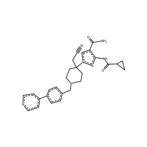 N#CCC1(n2cc(C(N)=O)c(NC(=O)C3CC3)n2)CCN(Cc2ccc(-c3ccncc3)cc2)CC1